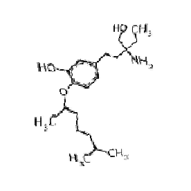 CC[C@@](N)(CO)CCc1ccc(OC(C)CCCC(C)C)c(O)c1